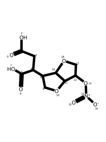 O=C(O)CC(C(=O)O)C1COC2C(O[N+](=O)[O-])COC12